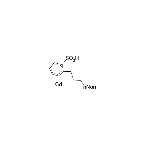 CCCCCCCCCCCCc1ccccc1S(=O)(=O)O.[Gd]